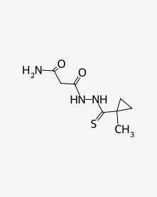 CC1(C(=S)NNC(=O)CC(N)=O)CC1